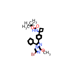 COc1nc(Br)cn2c(-c3ccccc3)c(-c3ccc(C4(NC(=O)OC(C)(C)C)CCC4)cc3)nc12